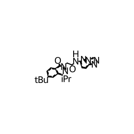 CC(C)c1nn(CC(=O)Nc2ccc3nncn3n2)c(=O)c2ccc(C(C)(C)C)cc12